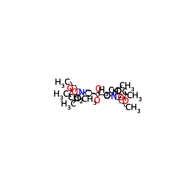 C=C(C)C(=O)OC(CCCC)CN(c1ccc(C2=C([O-])C(=C3C=CC(=[N+](CC(CCCC)OC(=O)C(=C)C)c4ccc(C)cc4C)C=C3)C2=O)cc1)c1ccc(C)cc1C